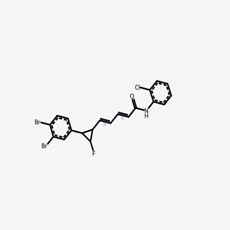 O=C(/C=C/C=C/C1C(F)C1c1ccc(Br)c(Br)c1)Nc1ccccc1Cl